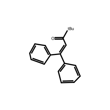 CC(C)(C)C(=O)C=C(c1ccccc1)c1ccccc1